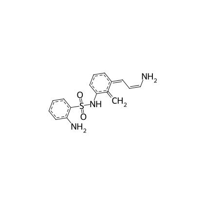 C=c1c(NS(=O)(=O)c2ccccc2N)ccc/c1=C/C=C\N